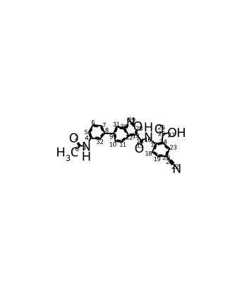 CC(=O)Nc1cccc(-c2ccc3c(C(=O)Nc4ccc(C#N)cc4C(=O)O)onc3c2)c1